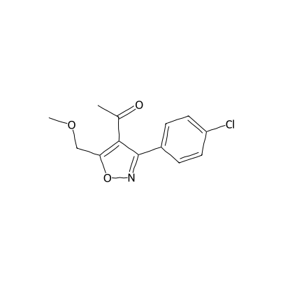 COCc1onc(-c2ccc(Cl)cc2)c1C(C)=O